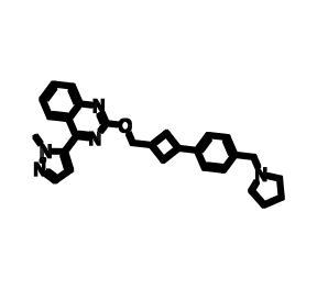 Cn1nccc1-c1nc(OCC2CC(c3ccc(CN4CCCC4)cc3)C2)nc2ccccc12